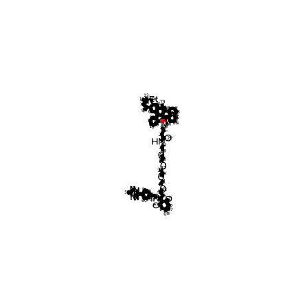 CC[N+]1=c2cc3c(cc2C(C)CC1(C)C)=C(c1ccccc1C(=O)N(C)CCCC(=O)NCCCOCCOCCOCCOCCC(NCc1ccc(-c2nnc(C)nn2)cc1)=C1C(=O)CC(C)(C)CC1=O)c1cc2c4c(c1C3(C)C)CCCN4CCC2